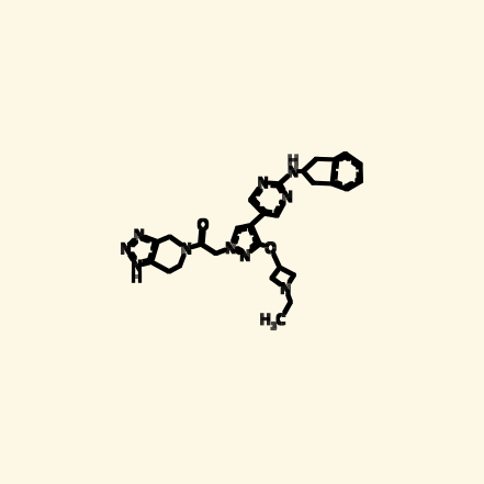 CCN1CC(Oc2nn(CC(=O)N3CCc4[nH]nnc4C3)cc2-c2cnc(NC3Cc4ccccc4C3)nc2)C1